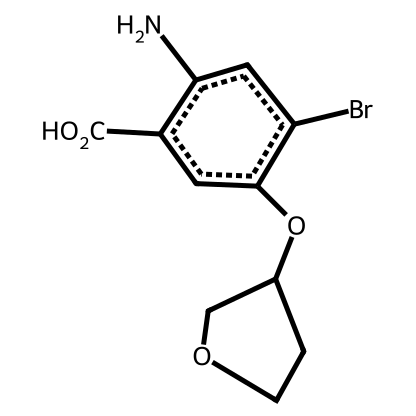 Nc1cc(Br)c(OC2CCOC2)cc1C(=O)O